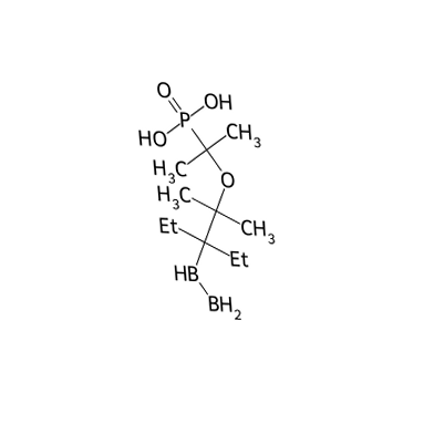 BBC(CC)(CC)C(C)(C)OC(C)(C)P(=O)(O)O